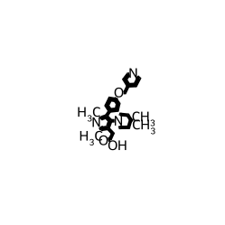 Cc1nc(C)c(-c2ccc(OCc3ccncc3)cc2)c(N2CCC(C)(C)CC2)c1CC(=O)O